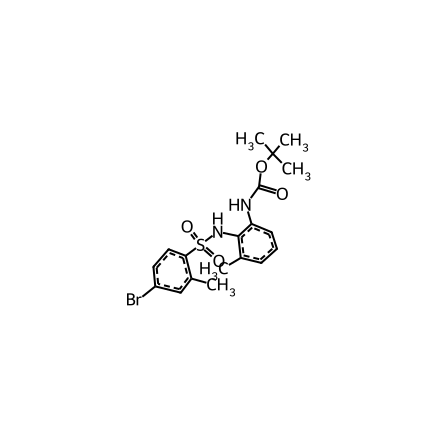 Cc1cc(Br)ccc1S(=O)(=O)Nc1c(C)cccc1NC(=O)OC(C)(C)C